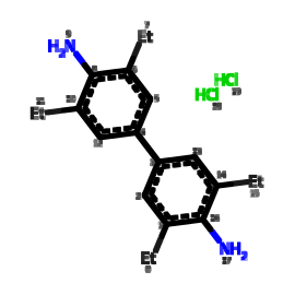 CCc1cc(-c2cc(CC)c(N)c(CC)c2)cc(CC)c1N.Cl.Cl